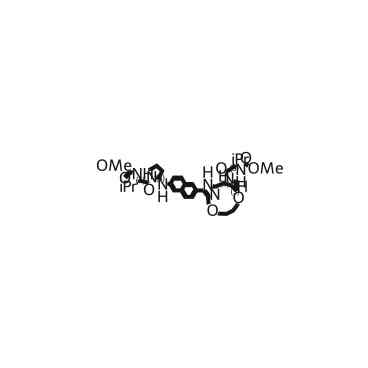 COC(=O)N[C@H](C(=O)N1CCC[C@H]1Nc1ccc2cc(-c3[nH]c4nc3COCCCCO[C@H]3C[C@@H]4N(C(=O)[C@@H](NC(=O)OC)C(C)C)C3)ccc2c1)C(C)C